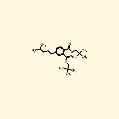 CC(C)CCCc1ccc(C(=O)OCC(C)(C)C)c(C(=O)OCC(C)(C)C)c1